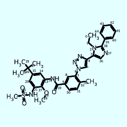 CCn1c(-c2cn(-c3cc(C(=O)Nc4cc(C(C)(C)C)cc(NS(C)(=O)=O)c4OC)ccc3C)nn2)cnc1-c1ccccc1